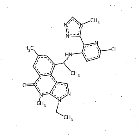 CCn1ncc2c3c(C(C)Nc4ccc(Cl)nc4-c4nncn4C)cc(C)cc3c(=O)n(C)c21